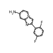 Nc1ccn2cc(-c3cc(F)ccc3F)nc2c1